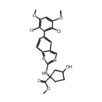 COC(=O)C1(Nc2ncc3cc(-c4c(Cl)c(OC)cc(OC)c4Cl)ccc3n2)CCC(O)C1